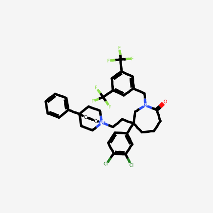 O=C1CCCC(CC[N+]23CCC(c4ccccc4)(CC2)CC3)(c2ccc(Cl)c(Cl)c2)CN1Cc1cc(C(F)(F)F)cc(C(F)(F)F)c1